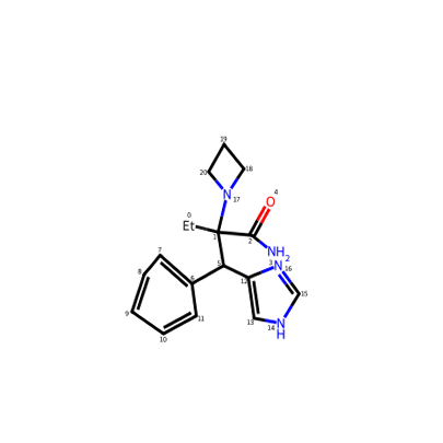 CCC(C(N)=O)(C(c1ccccc1)c1c[nH]cn1)N1CCC1